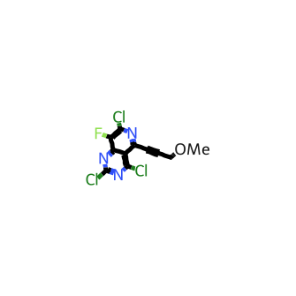 COCC#Cc1nc(Cl)c(F)c2nc(Cl)nc(Cl)c12